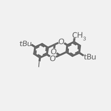 Cc1cc(C(C)(C)C)cc2c1OC1OC2Oc2c(I)cc(C(C)(C)C)cc21